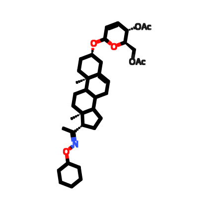 CC(=O)OC[C@H]1OC(O[C@H]2CC[C@@]3(C)C(=CCC4C3CC[C@@]3(C)C4CC[C@@H]3/C(C)=N/OC3CCCCC3)C2)C=C[C@@H]1OC(C)=O